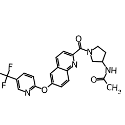 CC(=O)NC1CCN(C(=O)c2ccc3cc(Oc4ccc(C(F)(F)F)cn4)ccc3n2)C1